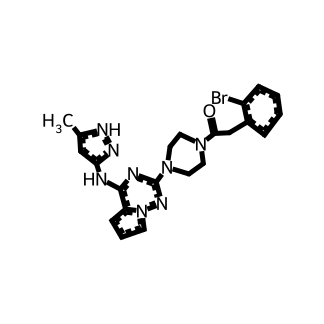 Cc1cc(Nc2nc(N3CCN(C(=O)Cc4ccccc4Br)CC3)nn3cccc23)n[nH]1